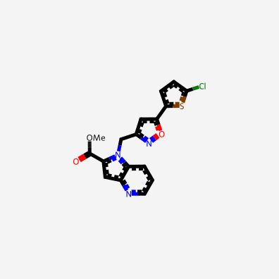 COC(=O)c1cc2ncccc2n1Cc1cc(-c2ccc(Cl)s2)on1